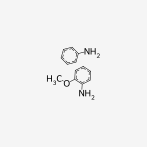 COc1ccccc1N.Nc1ccccc1